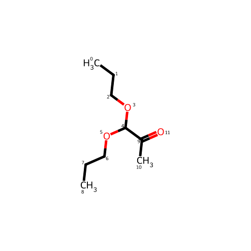 CCCOC(OCCC)C(C)=O